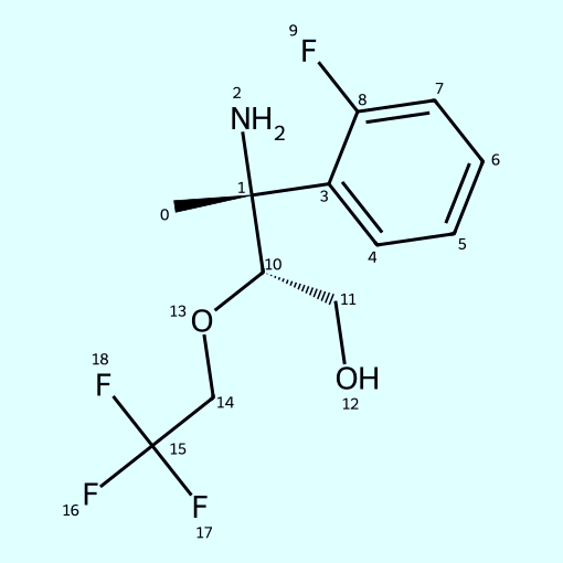 C[C@@](N)(c1ccccc1F)[C@H](CO)OCC(F)(F)F